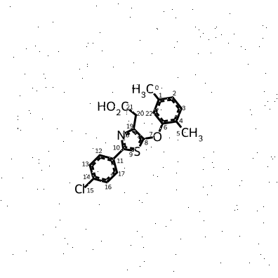 Cc1ccc(C)c(Oc2sc(-c3ccc(Cl)cc3)nc2CC(=O)O)c1